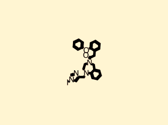 O=C(Cc1ccccc1Oc1ccccc1)N1CCN(Cc2cn(I)cn2)c2ccccc2C1